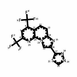 FC(F)(F)c1cc(C(F)(F)F)c2ccc3nc(-c4nncs4)cn3c2n1